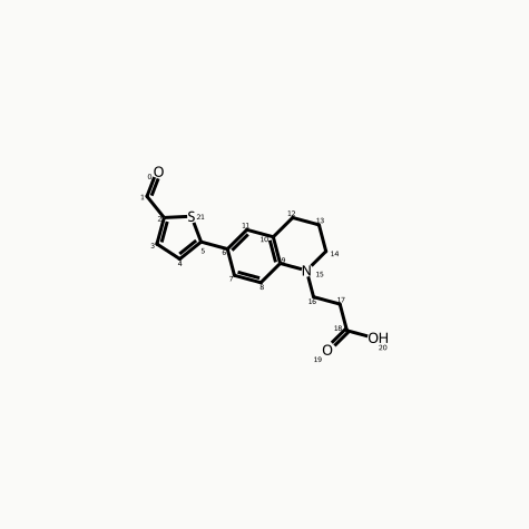 O=Cc1ccc(-c2ccc3c(c2)CCCN3CCC(=O)O)s1